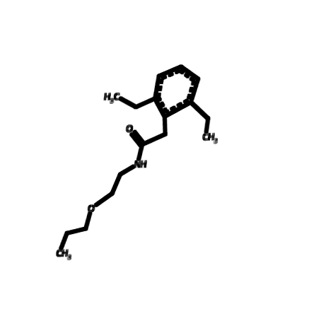 CCCOCCNC(=O)Cc1c(CC)cccc1CC